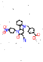 COC(=O)c1ccc(Cn2c3ccccc3c3c2cc(C#N)c(=O)n3-c2ccc([N+](=O)[O-])cc2)cc1